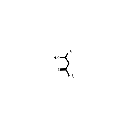 CCCC(C)CC(N)=S